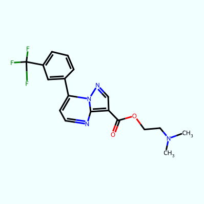 CN(C)CCOC(=O)c1cnn2c(-c3cccc(C(F)(F)F)c3)ccnc12